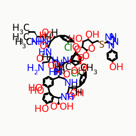 CN[C@@H](CC(C)C)C(=O)N[C@H]1C(=O)N[C@@H](CC(N)=O)C(=O)N[C@H]2C(=O)N[C@H]3C(=O)N[C@H](C(=O)N[C@@H](C(=O)O)c4cc(O)cc(O)c4-c4cc3ccc4O)[C@H](O)c3ccc(c(Cl)c3)Oc3cc2cc(c3OC2OC(CSc3nnnn3-c3ccc(O)cc3)C(O)C(O)C2OC2CC(C)(N)C(O)C(C)O2)Oc2ccc(cc2Cl)[C@H]1O